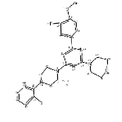 COc1ccc(-c2cc(N3CCN(c4ncccc4C)C[C@H]3C)nc(N3CCOCC3)n2)cc1F